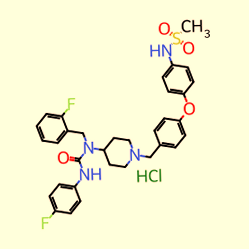 CS(=O)(=O)Nc1ccc(Oc2ccc(CN3CCC(N(Cc4ccccc4F)C(=O)Nc4ccc(F)cc4)CC3)cc2)cc1.Cl